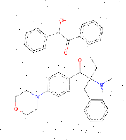 CCC(Cc1ccccc1)(C(=O)c1ccc(N2CCOCC2)cc1)N(C)C.O=C(c1ccccc1)C(O)c1ccccc1